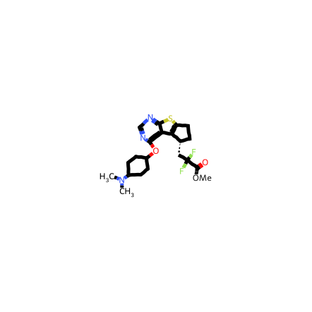 COC(=O)C(F)(F)C[C@H]1CCc2sc3ncnc(OC4CCC(N(C)C)CC4)c3c21